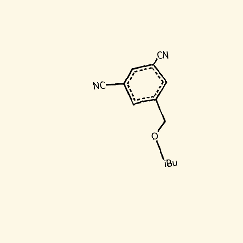 CCC(C)OCc1cc(C#N)cc(C#N)c1